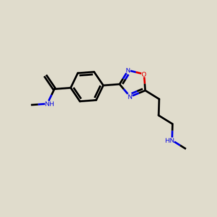 C=C(NC)c1ccc(-c2noc(CCCNC)n2)cc1